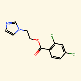 O=C(OCCn1ccnc1)c1ccc(Cl)cc1Cl